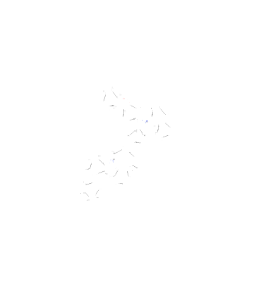 C=C1/C=C(c2ccc3c(c2)c2cc4c(cc2n3-c2cccc3ccccc23)oc2ccccc24)\C=C/N(c2cccc(-c3ccccc3)c2)c2ccccc21